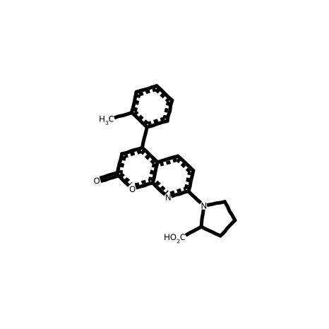 Cc1ccccc1-c1cc(=O)oc2nc(N3CCCC3C(=O)O)ccc12